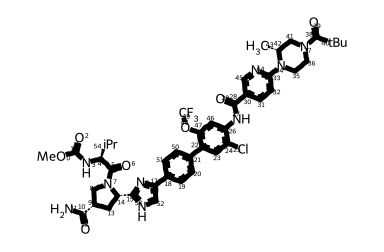 COC(=O)N[C@H](C(=O)N1C[C@@H](C(N)=O)C[C@H]1c1nc(-c2ccc(-c3cc(Cl)c(NC(=O)c4ccc(N5CCN(C(=O)C(C)(C)C)C[C@H]5C)nc4)cc3OC(F)(F)F)cc2)c[nH]1)C(C)C